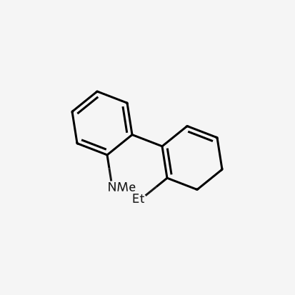 CCC1=C(c2ccccc2NC)C=CCC1